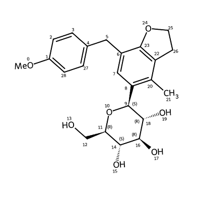 COc1ccc(Cc2cc([C@@H]3O[C@H](CO)[C@@H](O)[C@H](O)[C@H]3O)c(C)c3c2OCC3)cc1